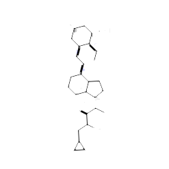 C\C=C1/C(=C\C=C2/CCC[C@@]3(C)C2CC[C@@H]3C(C)C(=O)C(O)CC2CC2)C[C@@H](O)C[C@@H]1O